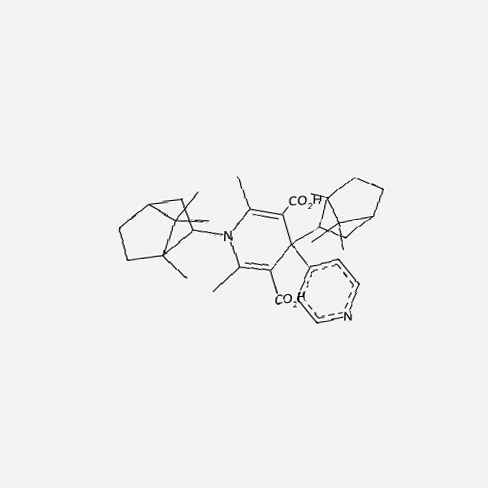 CC1=C(C(=O)O)C(c2ccncc2)(C2CC3CCC2(C)C3(C)C)C(C(=O)O)=C(C)N1C1CC2CCC1(C)C2(C)C